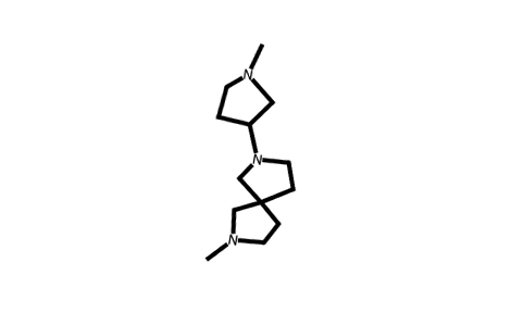 CN1CCC(N2CCC3(CCN(C)C3)C2)C1